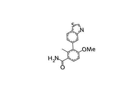 COc1ccc(C(N)=O)c(C)c1-c1ccc2scnc2c1